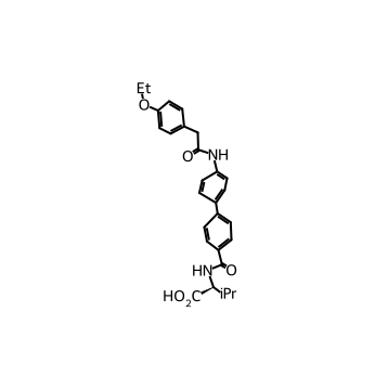 CCOc1ccc(CC(=O)Nc2ccc(-c3ccc(C(=O)N[C@H](C(=O)O)C(C)C)cc3)cc2)cc1